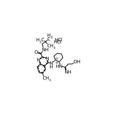 Cc1ccc2nc(C(=O)NCC(C)(C)C)nc(N[C@H]3CCCC[C@H]3NC(=N)CCO)c2c1.Cl.Cl